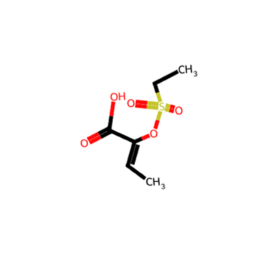 C/C=C(\OS(=O)(=O)CC)C(=O)O